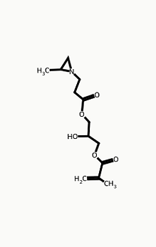 C=C(C)C(=O)OCC(O)COC(=O)CCN1CC1C